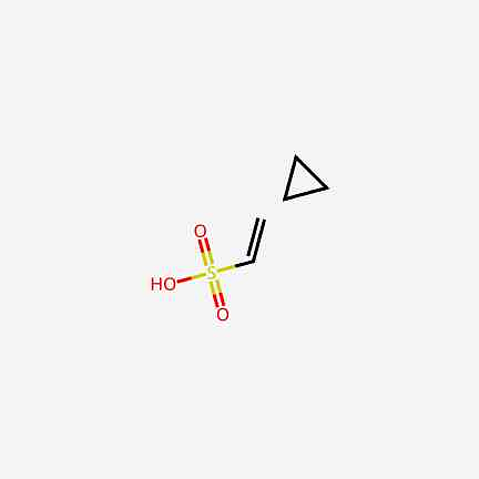 C1CC1.C=CS(=O)(=O)O